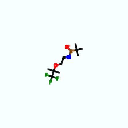 CC(C)(C)[S+]([O-])/N=C/COC(C)(C)C(F)(F)F